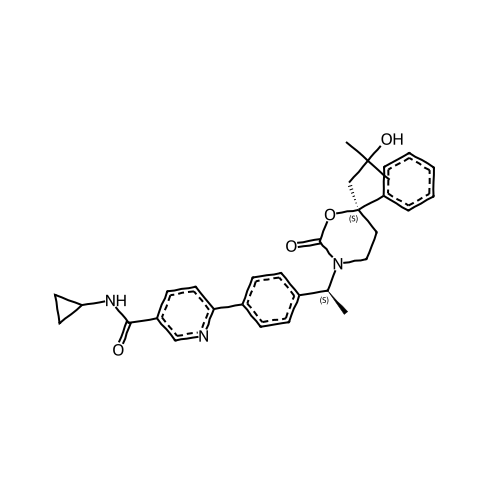 C[C@@H](c1ccc(-c2ccc(C(=O)NC3CC3)cn2)cc1)N1CC[C@](CC(C)(C)O)(c2ccccc2)OC1=O